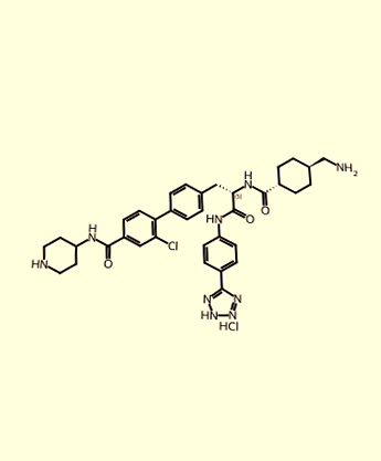 Cl.NC[C@H]1CC[C@H](C(=O)N[C@@H](Cc2ccc(-c3ccc(C(=O)NC4CCNCC4)cc3Cl)cc2)C(=O)Nc2ccc(-c3nn[nH]n3)cc2)CC1